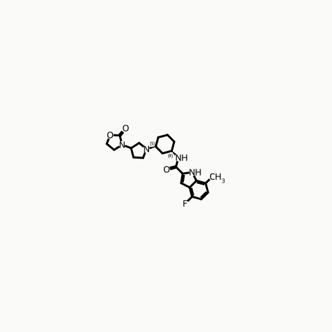 Cc1ccc(F)c2cc(C(=O)N[C@@H]3CCC[C@H](N4CCC(N5CCOC5=O)C4)C3)[nH]c12